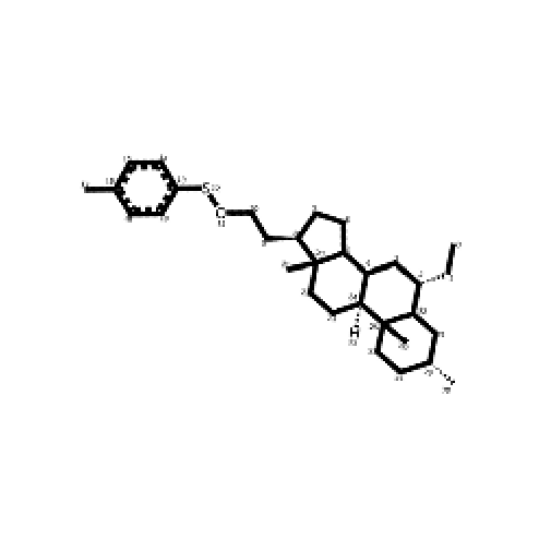 CC[C@H]1CC2C3CC[C@H](CCOSc4ccc(C)cc4)C3(C)CC[C@@H]2C2(C)CC[C@@H](C)CC12